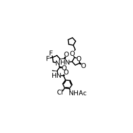 CC(=O)Nc1ccc(C(=O)N[C@@H](C)C(=O)N2CC(F)(F)C[C@H]2C(=O)NC2CC(=O)OC2OCC2CCCC2)cc1Cl